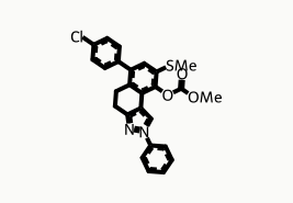 COC(=O)Oc1c(SC)cc(-c2ccc(Cl)cc2)c2c1-c1cn(-c3ccccc3)nc1CC2